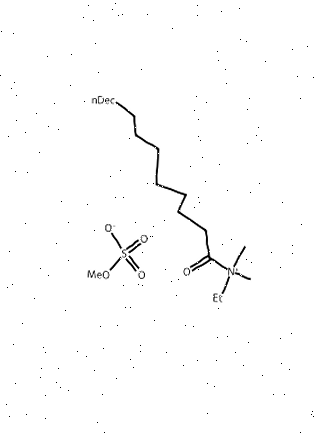 CCCCCCCCCCCCCCCCCC(=O)[N+](C)(C)CC.COS(=O)(=O)[O-]